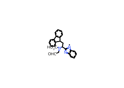 Cn1c(C(CC2c3ccccc3-c3ccccc32)N(CC=O)C(=O)O)nc2ccccc21